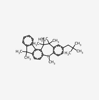 CN1c2ccc(CC(C)(C)C)cc2C(C)(C)C(C)(C)c2c1ccc1c2-c2ccccc2C1(C)C